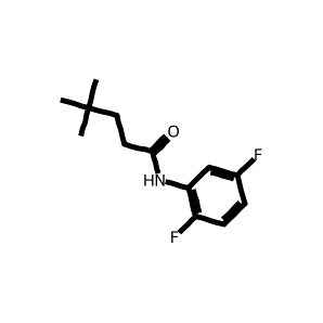 CC(C)(C)CCC(=O)Nc1cc(F)ccc1F